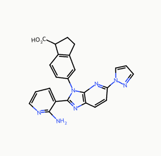 Nc1ncccc1-c1nc2ccc(-n3cccn3)nc2n1-c1ccc2c(c1)CCC2C(=O)O